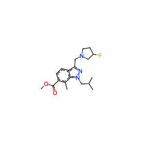 COC(=O)c1ccc2c(CN3CCC(F)C3)nn(CC(C)C)c2c1C